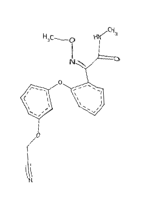 CNC(=O)C(=NOC)c1ccccc1Oc1cccc(OCC#N)c1